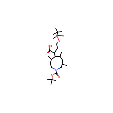 CC1CC(C)C(C(CCO[Si](C)(C)C(C)(C)C)C(=O)O)C(C)CCN(C(=O)OC(C)(C)C)C1